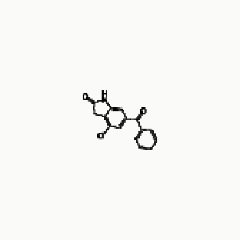 O=C1Cc2c(Cl)cc(C(=O)c3ccccc3)cc2N1